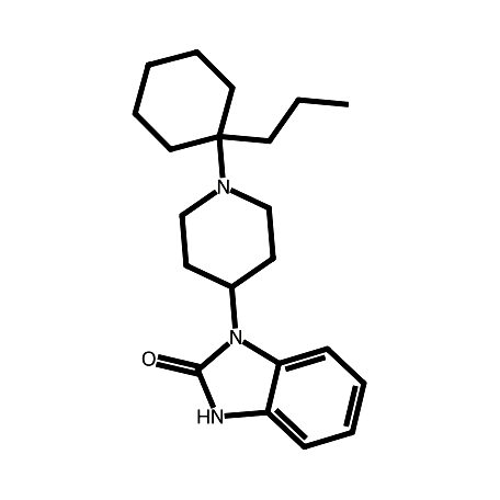 CCCC1(N2CCC(n3c(=O)[nH]c4ccccc43)CC2)CCCCC1